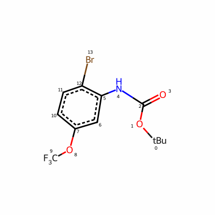 CC(C)(C)OC(=O)Nc1cc(OC(F)(F)F)ccc1Br